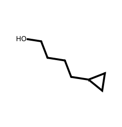 OCCCC[C]1CC1